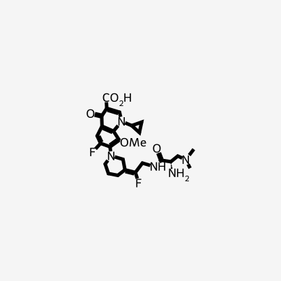 COc1c(N2CCC/C(=C(\F)CNC(=O)[C@@H](N)CN(C)C)C2)c(F)cc2c(=O)c(C(=O)O)cn(C3CC3)c12